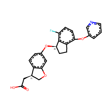 O=C(O)C[C@@H]1COc2cc(O[C@@H]3CCc4c(Oc5cccnc5)ccc(F)c43)ccc21